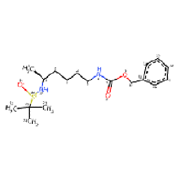 C[C@@H](CCCCNC(=O)OCc1ccccc1)N[S+]([O-])C(C)(C)C